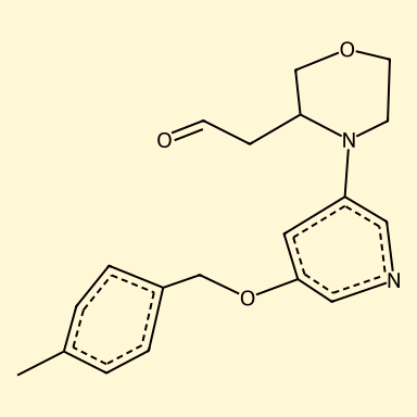 Cc1ccc(COc2cncc(N3CCOCC3CC=O)c2)cc1